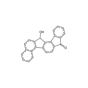 O=C1c2ccccc2-c2c1ccc1c2C(O)c2ccc3ccccc3c2-1